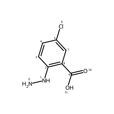 NNc1ccc(Cl)cc1C(=O)O